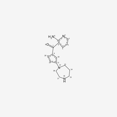 Nc1ncccc1C(=O)c1cc(N2CCCNCC2)cs1